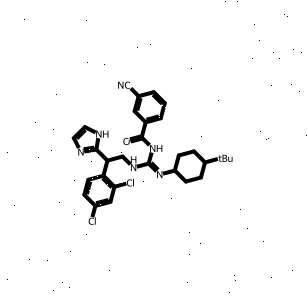 CC(C)(C)C1CCC(N=C(NCC(c2ncc[nH]2)c2ccc(Cl)cc2Cl)NC(=O)c2cccc(C#N)c2)CC1